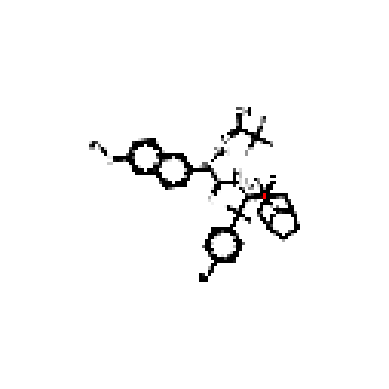 CC(C)Oc1ccc2cc([C@H](O)C(=O)N[C@@H](C(=O)N3C4CCC3CC(N)C4)C(F)(F)c3ccc(Br)cc3)ccc2c1.O=C(O)C(F)(F)F